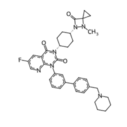 CN1N([C@H]2CC[C@@H](n3c(=O)c4cc(F)cnc4n(-c4cccc(-c5ccc(CN6CCCCC6)cc5)c4)c3=O)CC2)C(=O)C12CC2